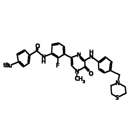 Cn1cc(-c2cccc(NC(=O)c3ccc(C(C)(C)C)cc3)c2F)nc(Nc2ccc(CN3CCSCC3)cc2)c1=O